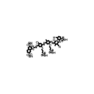 Cc1cc(N=Nc2c(C)c(C#N)c3nc4c(S(=O)(=O)O)ccc(C)c4n3c2O)c(OCCCS(=O)(=O)O)cc1N=Nc1cc(Cl)c(N=Nc2nc3c(S(=O)(=O)O)cc4ccc(S(=O)(=O)O)cc4c3s2)cc1SCCCS(=O)(=O)O